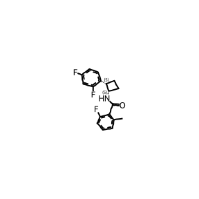 Cc1cccc(F)c1C(=O)N[C@H]1CC[C@H]1c1ccc(F)cc1F